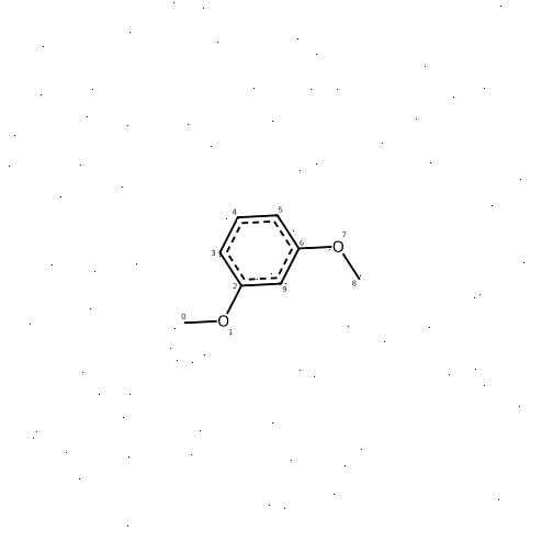 COc1[c]ccc(OC)[c]1